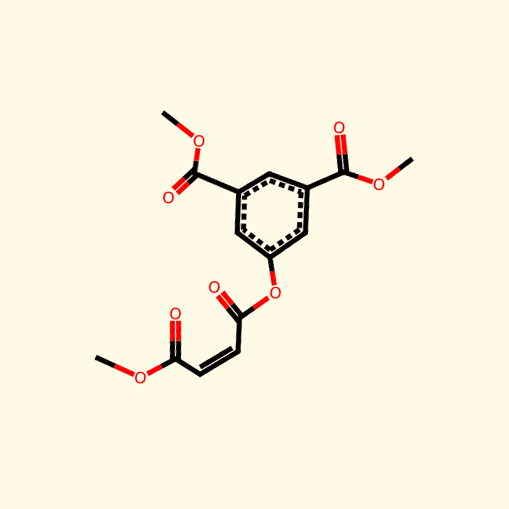 COC(=O)/C=C\C(=O)Oc1cc(C(=O)OC)cc(C(=O)OC)c1